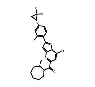 CCc1cc(C(=O)N2CCCCC[C@H]2C)nc2cc(-c3ccc([C@@H]4CC4(F)F)cc3F)nn12